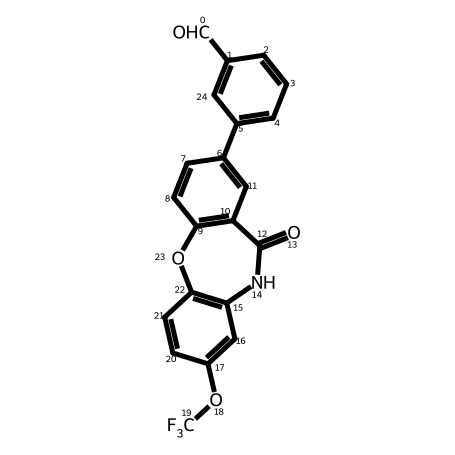 O=Cc1cccc(-c2ccc3c(c2)C(=O)Nc2cc(OC(F)(F)F)ccc2O3)c1